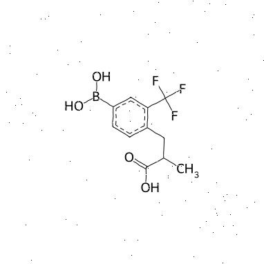 CC(Cc1ccc(B(O)O)cc1C(F)(F)F)C(=O)O